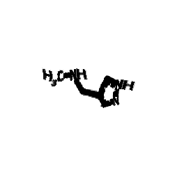 CNCc1[c]n[nH]c1